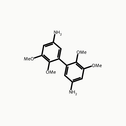 COc1cc(N)cc(-c2cc(N)cc(OC)c2OC)c1OC